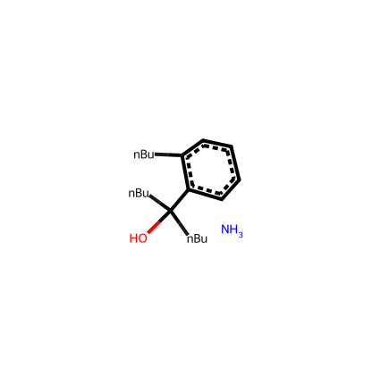 CCCCc1ccccc1C(O)(CCCC)CCCC.N